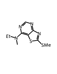 CCN(C)c1ncnc2nc(SC)sc12